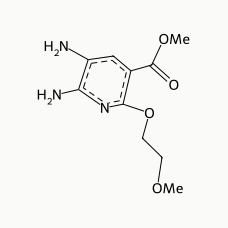 COCCOc1nc(N)c(N)cc1C(=O)OC